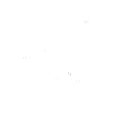 COC(=O)c1cc(Br)ccc1[N+](=O)[O-]